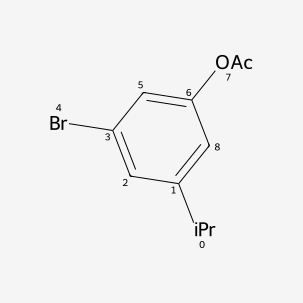 [CH2]C(C)c1cc(Br)cc(OC(C)=O)c1